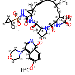 COc1ccc2c(O[C@@H]3C[C@H]4C(=O)N[C@]5(C(=O)NS(=O)(=O)C6(C)CC6)C[C@H]5C=CCC[C@@H](C)C[C@@H](C)[C@H](NC(=O)O)C(=O)N4C3)ncc(N3CCOCC3)c2c1